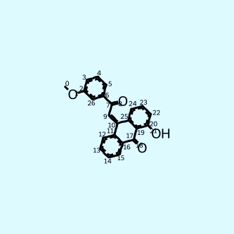 COc1cccc(C(=O)C=C2c3ccccc3C(=O)c3c(O)cccc32)c1